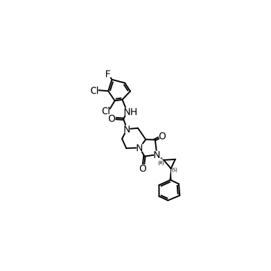 O=C(Nc1ccc(F)c(Cl)c1Cl)N1CCN2C(=O)N([C@@H]3C[C@H]3c3ccccc3)C(=O)C2C1